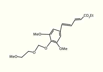 CCOC(=O)/C=C/C=C/c1cc(OC)c(OCOCCOC)c(OC)c1